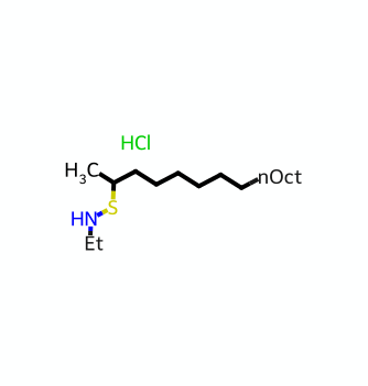 CCCCCCCCCCCCCCC(C)SNCC.Cl